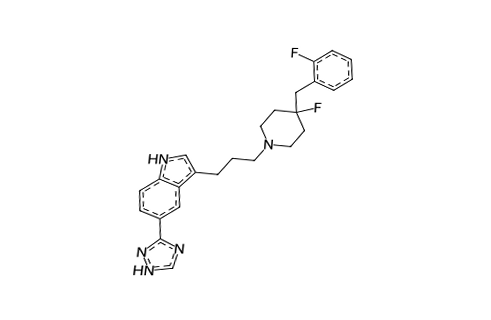 Fc1ccccc1CC1(F)CCN(CCCc2c[nH]c3ccc(-c4nc[nH]n4)cc23)CC1